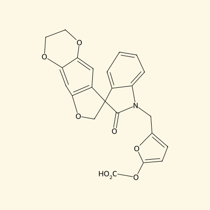 O=C(O)Oc1ccc(CN2C(=O)C3(COc4cc5c(cc43)OCCO5)c3ccccc32)o1